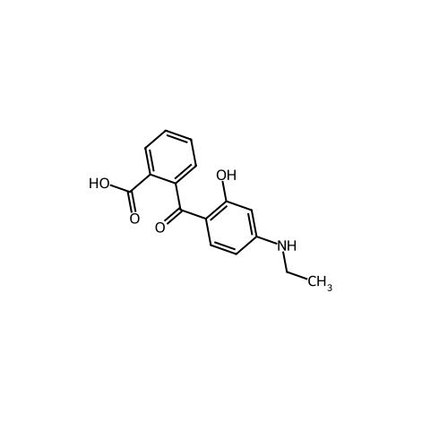 CCNc1ccc(C(=O)c2ccccc2C(=O)O)c(O)c1